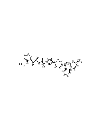 CCOC(=O)c1ccccc1NC(=O)CNC(=O)c1csc(C2CCN(C(=O)c3ccccc3-c3ccc(C(F)(F)F)cc3)CC2)n1